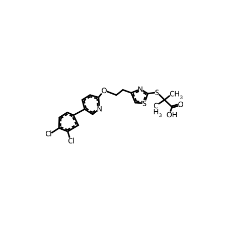 CC(C)(Sc1nc(CCOc2ccc(-c3ccc(Cl)c(Cl)c3)cn2)cs1)C(=O)O